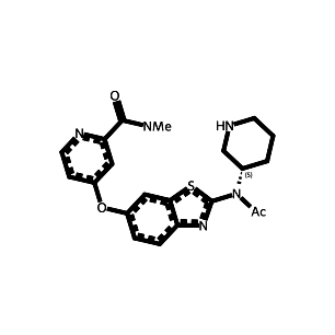 CNC(=O)c1cc(Oc2ccc3nc(N(C(C)=O)[C@H]4CCCNC4)sc3c2)ccn1